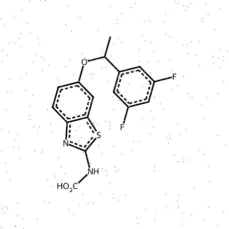 CC(Oc1ccc2nc(NC(=O)O)sc2c1)c1cc(F)cc(F)c1